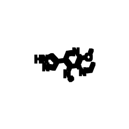 C=Nc1c(-c2cn[nH]c2)cnc(OC)c1/N=C\C